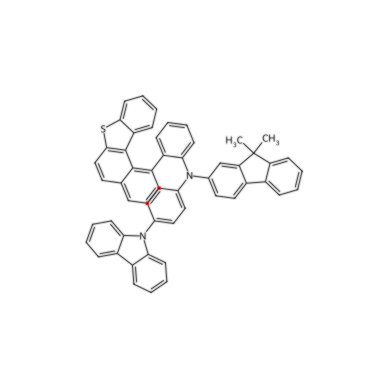 CC1(C)c2ccccc2-c2ccc(N(c3ccc(-n4c5ccccc5c5ccccc54)cc3)c3ccccc3-c3cccc4ccc5sc6ccccc6c5c34)cc21